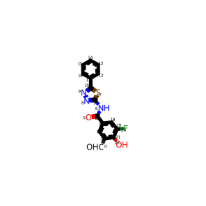 O=Cc1cc(C(=O)Nc2nnc(-c3ccccc3)s2)cc(F)c1O